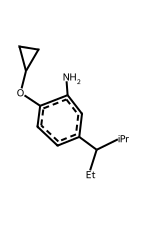 CCC(c1ccc(OC2CC2)c(N)c1)C(C)C